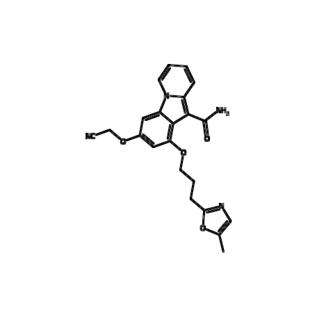 Cc1cnc(CCCOc2cc(OCC#N)cc3c2c(C(N)=O)c2ccccn23)o1